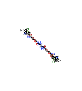 CN1Cc2c(C#N)cc(Cl)cc2C(c2cc(S(=O)(=O)NCCOCCOCCNC(=O)NCCCCNC(=O)NCCOCCOCCNS(=O)(=O)c3ccc(F)c(C4CN(C)Cc5c(C#N)cc(Cl)cc54)c3)ccc2F)C1